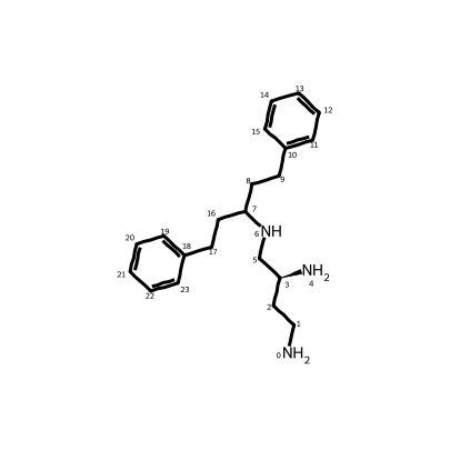 NCC[C@H](N)CNC(CCc1ccccc1)CCc1ccccc1